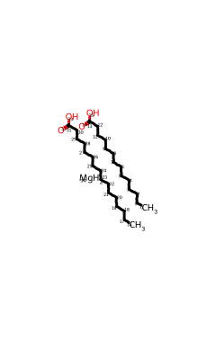 CCCCCCCCCCCCCC(=O)O.CCCCCCCCCCCCCCCC(=O)O.[MgH2]